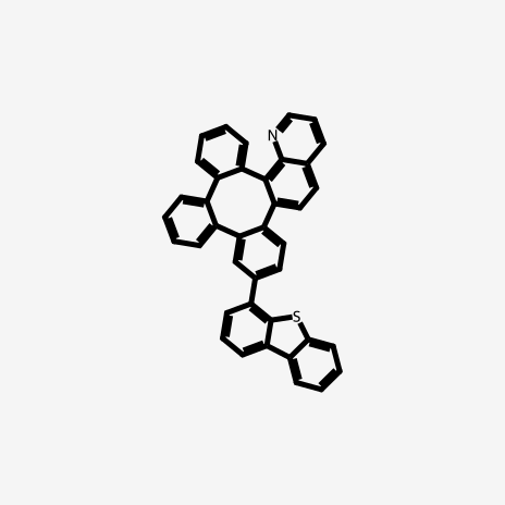 c1ccc2c(c1)-c1cc(-c3cccc4c3sc3ccccc34)ccc1-c1ccc3cccnc3c1-c1ccccc1-2